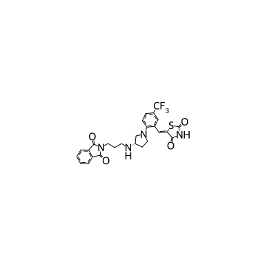 O=C1NC(=O)/C(=C/c2cc(C(F)(F)F)ccc2N2CC[C@H](NCCCN3C(=O)c4ccccc4C3=O)C2)S1